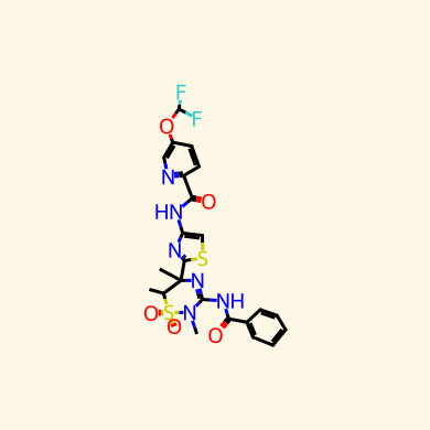 CC1C(C)(c2nc(NC(=O)c3ccc(OC(F)F)cn3)cs2)N=C(NC(=O)c2ccccc2)N(C)S1(=O)=O